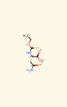 CCOC(=S)N[C@@H](CC(N)=O)C(=O)O